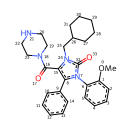 COc1ccccc1-n1c(-c2ccccc2)c(C(=O)N2CCNCC2)n(CC2CCCCC2)c1=O